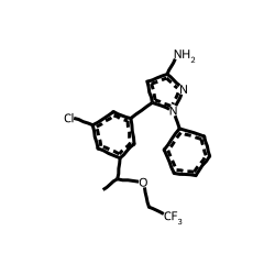 CC(OCC(F)(F)F)c1cc(Cl)cc(-c2cc(N)nn2-c2ccccc2)c1